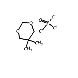 CC1(C)COCOC1.O=P(Cl)(Cl)Cl